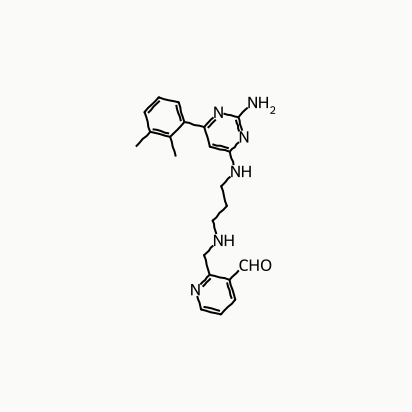 Cc1cccc(-c2cc(NCCCNCc3ncccc3C=O)nc(N)n2)c1C